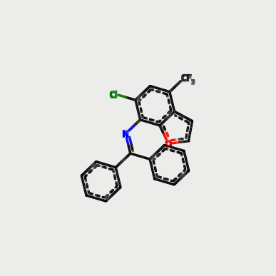 FC(F)(F)c1cc(Cl)c(N=C(c2ccccc2)c2ccccc2)c2occc12